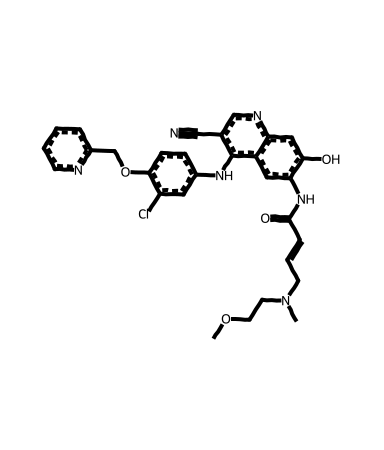 COCCN(C)C/C=C/C(=O)Nc1cc2c(Nc3ccc(OCc4ccccn4)c(Cl)c3)c(C#N)cnc2cc1O